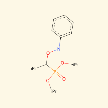 CCCC(ONc1ccccc1)P(=O)(OC(C)C)OC(C)C